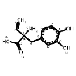 C=C[C@](N)(Cc1ccc(O)c(O)c1)C(=O)O